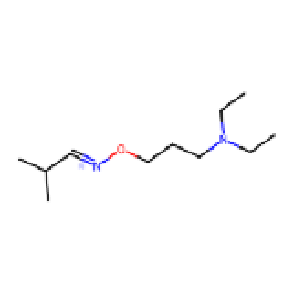 CCN(CC)CCCO/N=C/C(C)C